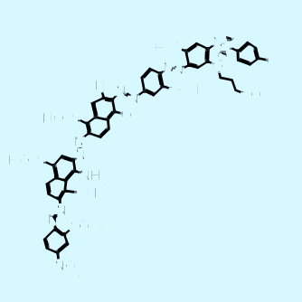 Cc1ccc(S(=O)(=O)Nc2cc(C)c(N=Nc3ccc(N=Nc4c(S(=O)(=O)O)cc5c(S(=O)(=O)O)c(N=Nc6cc(S(=O)(=O)O)c7ccc(N=Nc8ccc([N+](=O)[O-])cc8S(=O)(=O)O)c(O)c7c6N)ccc5c4O)cc3S(=O)(=O)O)cc2OCCCS(=O)(=O)O)cc1